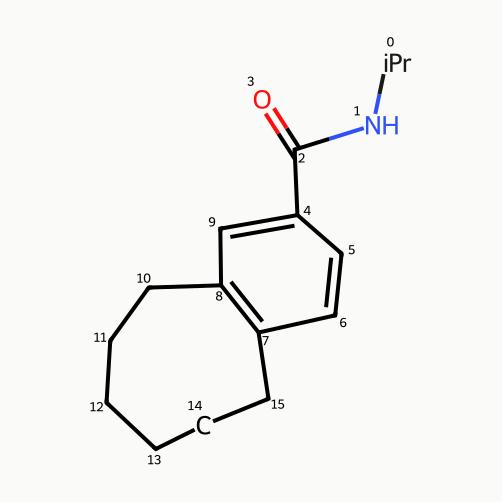 CC(C)NC(=O)c1ccc2c(c1)CCCCCC2